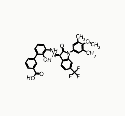 COc1c(C)cc(N2C(=O)C(=NNc3cccc(-c4cccc(C(=O)O)c4)c3O)c3ccc(C(F)(F)F)cc32)cc1C